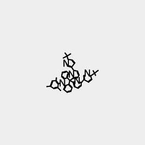 Cc1cc(C)c(N2c3ccccc3C(c3cccc(-c4ccc(C(C)(C)C)nc4)n3)(c3cccc(-c4ccc(C(C)(C)C)nc4)n3)c3ccccc32)c(C)c1